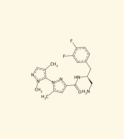 Cc1cnn(C)c1-n1nc(C(=O)N[C@H](CN)Cc2ccc(F)c(F)c2)cc1C